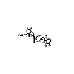 CSc1ccccc1NC(=O)NC1CCC(OCc2c(F)cccc2F)CC1